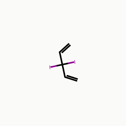 C=CC(I)(I)C=C